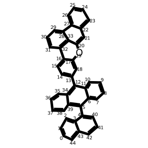 c1ccc2c(-c3c4ccccc4c(-c4ccc5c(c4)Oc4cc6ccccc6c6cccc-5c46)c4ccccc34)cccc2c1